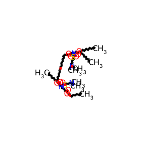 CCCCCC/C=C\COC(=O)CCCN(CC(=O)OC(CCCCCCC)CCCCCCCCCCCCC/C=C\COC(=O)CN(CC(=O)OC(CCCCCCCC)CCCCCCCC)C(=O)SCCCCN(CC)CC)C(=O)SCCCN(C)C